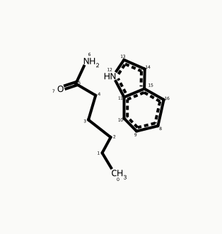 CCCCCC(N)=O.c1ccc2[nH]ccc2c1